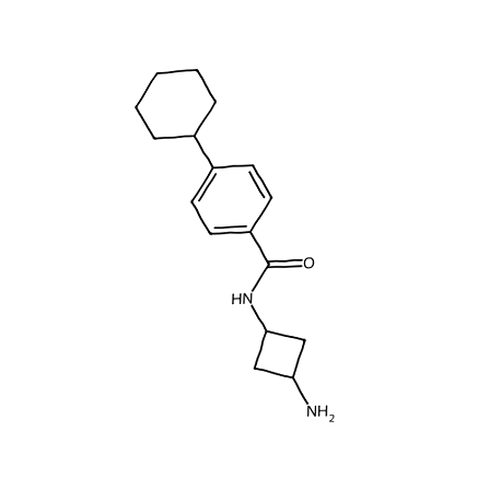 NC1CC(NC(=O)c2ccc(C3CCCCC3)cc2)C1